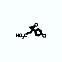 O=C(O)CCC1(c2ccc(Cl)cc2)CC1=O